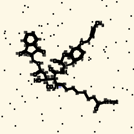 CC#CCOc1ccc(C[C@H](NC(=O)[C@@H](/C=C/CCCCCCC(=O)CCCCCCC)[C@@](O)(CC(=O)OCN2C(=O)c3ccccc3C2=O)C(=O)O)C(=O)OC)cc1